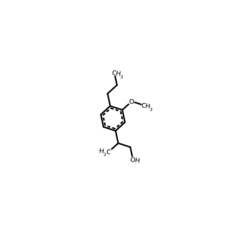 [CH2]C(CO)c1ccc(CCC)c(OC)c1